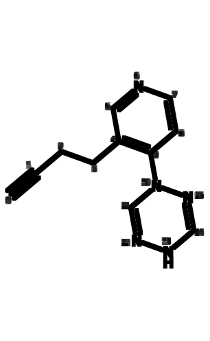 C#CCCc1cnccc1N1C=NNC=N1